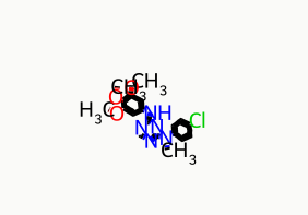 COc1cc(Nc2ncnc(N(C)c3ccc(Cl)cc3)n2)cc(OC)c1OC